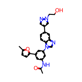 CC(=O)Nc1cc(-c2ccc(C)o2)cc(-n2cnc3cc(-c4cnn(CCO)c4)ccc32)c1